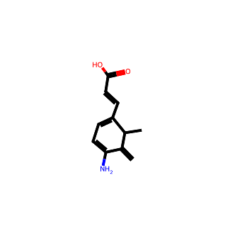 C=C1C(N)=CC=C(C=CC(=O)O)C1C